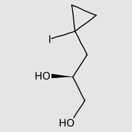 OC[C@@H](O)CC1(I)CC1